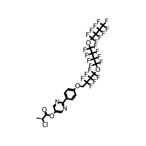 C[C@H](Cl)C(=O)Oc1cnc(-c2ccc(OCC(F)(F)C(F)(F)C(F)(F)OC(F)(F)C(F)(F)C(F)(F)C(F)(F)OC(F)(F)C(F)(F)C(F)(F)C(F)(F)F)cc2)nc1